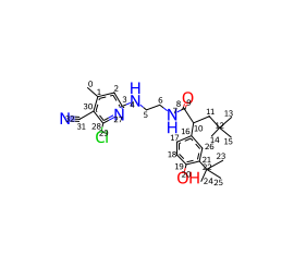 Cc1cc(NCCNC(=O)C(CC(C)(C)C)c2ccc(O)c(C(C)(C)C)c2)nc(Cl)c1C#N